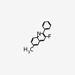 Cc1ccc2nc(-c3ccccc3)c(F)cc2c1